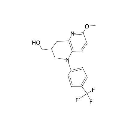 COc1ccc2c(n1)CC(CO)CN2c1ccc(C(F)(F)F)cc1